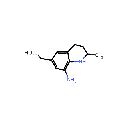 Nc1cc(CC(=O)O)cc2c1NC(C(F)(F)F)CC2